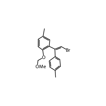 COCOc1ccc(C)cc1C(=CBr)c1ccc(C)cc1